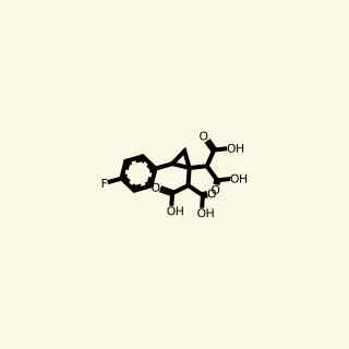 O=C(O)C(C(=O)O)C1(C(C(=O)O)C(=O)O)CC1c1ccc(F)cc1